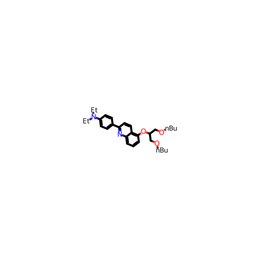 CCCCOCC(COCCCC)Oc1cccc2nc(-c3ccc(N(CC)CC)cc3)ccc12